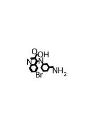 CN(c1c(C(=O)O)cnc2ccc(Br)cc12)C1CCCC(CN)C1